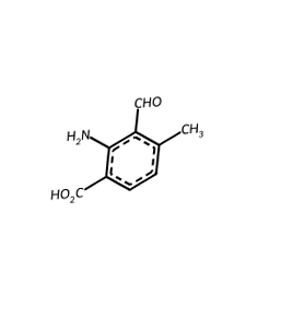 Cc1ccc(C(=O)O)c(N)c1C=O